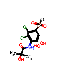 CCS(=O)(=O)c1ccc(NC(=O)C(C)(O)C(F)(F)F)c(Cl)c1Cl.OO